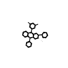 Cc1cc(C)cc(-c2c3ccccc3c(-c3ccccc3)c3cc4c(cc23)-c2ccccc2[Si]4(C)C)c1